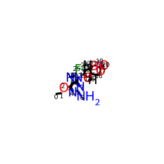 CCOc1nc(N)nc2c1ncn2[C@@H]1O[C@@H]2CO[P@](C)(=O)O[C@H]2[C@@]1(C)F